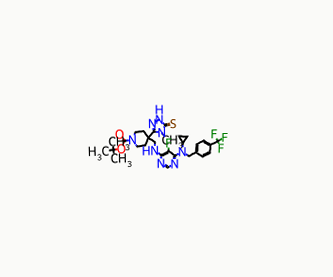 Cn1c(C2(CNc3ncnc(N(Cc4ccc(C(F)(F)F)cc4)C4CC4)c3F)CCN(C(=O)OC(C)(C)C)CC2)n[nH]c1=S